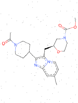 COC(=O)N1CCO[C@@H](Cc2c(C3CCN(C(C)=O)CC3)nc3cc(C)ccn23)C1